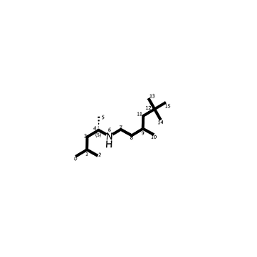 CC(C)C[C@H](C)NCCC(C)CC(C)(C)C